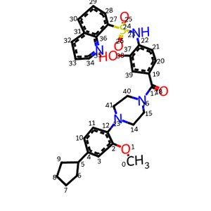 COc1cc(C2CCCC2)ccc1N1CCN(C(=O)c2ccc(NS(=O)(=O)c3cccc4cccnc34)c(O)c2)CC1